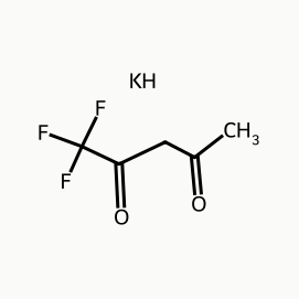 CC(=O)CC(=O)C(F)(F)F.[KH]